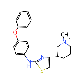 CN1CCC[C@H](c2csc(Nc3ccc(Oc4ccccc4)cc3)n2)C1